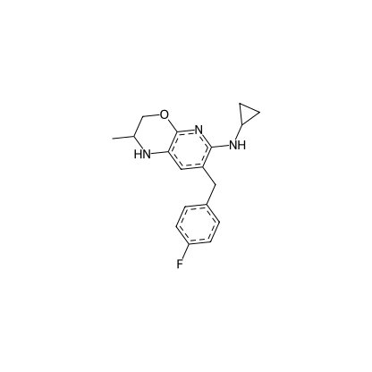 CC1COc2nc(NC3CC3)c(Cc3ccc(F)cc3)cc2N1